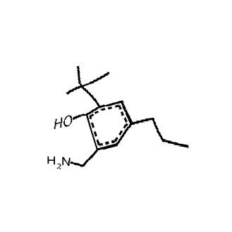 CCCc1cc(CN)c(O)c(C(C)(C)C)c1